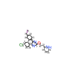 Clc1ccc(-c2ncc(OCCC3CCCCN3)nc2-c2ccc(CI)cc2)cc1